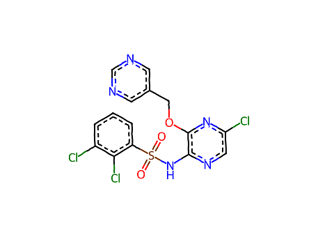 O=S(=O)(Nc1ncc(Cl)nc1OCc1cncnc1)c1cccc(Cl)c1Cl